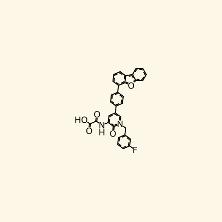 O=C(O)C(=O)Nc1cc(-c2ccc(-c3cccc4c3oc3ccccc34)cc2)cn(Cc2cccc(F)c2)c1=O